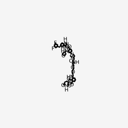 O=C(CN1CCN(c2ccc(C(=O)Nc3n[nH]c4ccc(Cc5cc(F)cc(F)c5)cc34)c(NC3CCOCC3)c2)CC1)NCCOCCOCCNc1cccc2c1C(=O)N(C1CCC(=O)NC1=O)C2=O